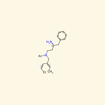 C/C=C(\C=C/CC)CN(CC[C@@H](N)Cc1ccccc1)C(C)=O